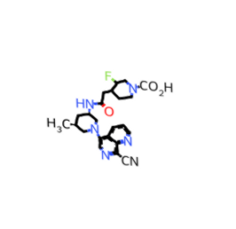 C[C@H]1C[C@@H](NC(=O)CC2CCN(C(=O)O)CC2F)CN(c2cnc(C#N)c3ncccc23)C1